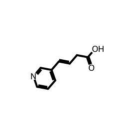 O=C(O)CC=Cc1cccnc1